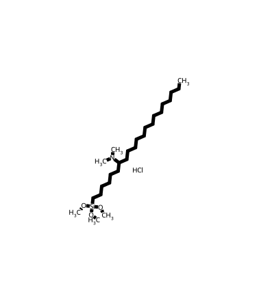 CCCCCCCCCCCCCCC(CCCCCC[Si](OC)(OC)OC)N(C)C.Cl